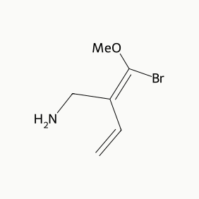 C=CC(CN)=C(Br)OC